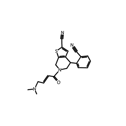 CN(C)C/C=C/C(=O)N1Cc2sc(C#N)cc2C(c2ccccc2C#N)C1